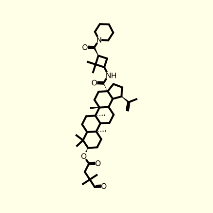 C=C(C)[C@@H]1CC[C@]2(C(=O)NC3C[C@H](C(=O)N4CCCCC4)C3(C)C)CC[C@]3(C)C(CCC4[C@@]5(C)CC[C@H](OC(=O)CC(C)(C)C=O)C(C)(C)C5CC[C@]43C)C12